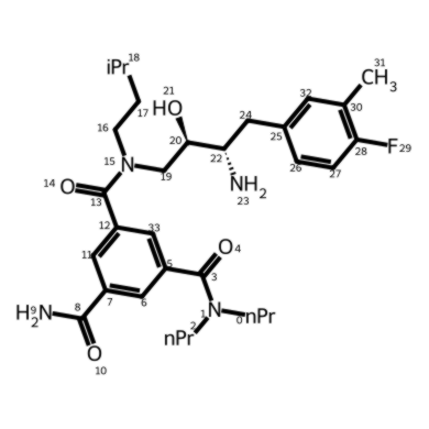 CCCN(CCC)C(=O)c1cc(C(N)=O)cc(C(=O)N(CCC(C)C)C[C@@H](O)[C@@H](N)Cc2ccc(F)c(C)c2)c1